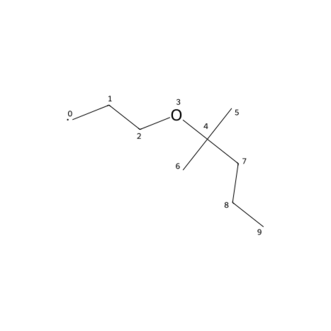 [CH2]CCOC(C)(C)CCC